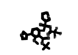 COc1c(-c2ccoc2)ccc(CS(=O)(=NC(=O)C(F)(F)F)c2ccccc2)c1C(=O)OC(C)(C)C